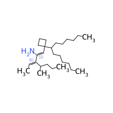 C/C=C(/C(N)=C/C1(C(CCCCCC)CCCCCC)CCC1)C(C)CCC